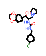 O=C(NCc1ccc(Cl)cc1)NC(CN1CCCC1)C(O)c1ccc2c(c1)OCCO2